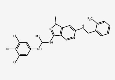 Cn1nc(NC(O)Nc2cc(Cl)c(O)c(Cl)c2)c2cnc(NCc3ccccc3C(F)(F)F)cc21